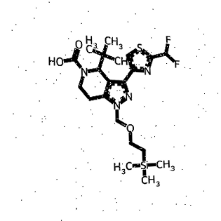 CC(C)(C)C1c2c(-c3csc(C(F)F)n3)nn(COCC[Si](C)(C)C)c2CCN1C(=O)O